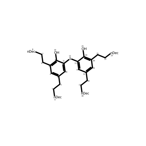 CCCCCCCCCCCCc1cc(CCCCCCCCCCCC)c(O)c(Sc2cc(CCCCCCCCCCCC)cc(CCCCCCCCCCCC)c2O)c1